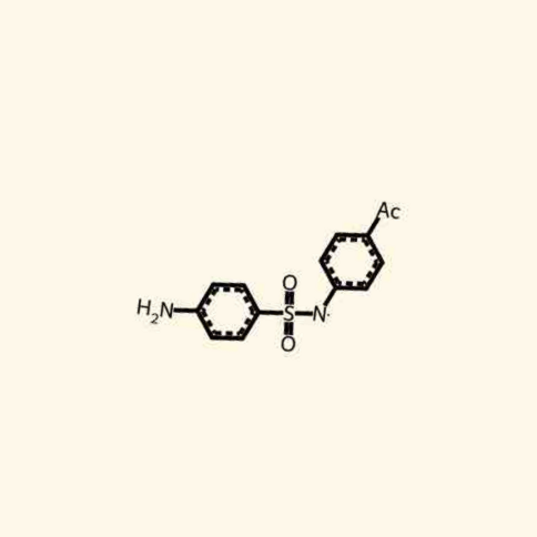 CC(=O)c1ccc([N]S(=O)(=O)c2ccc(N)cc2)cc1